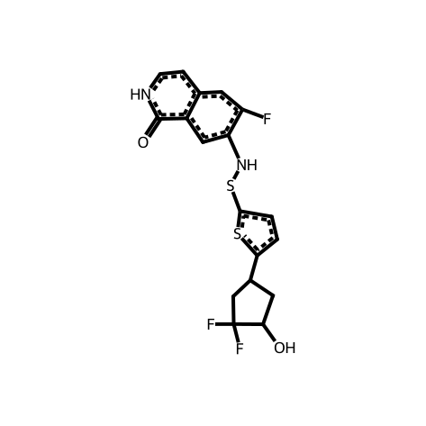 O=c1[nH]ccc2cc(F)c(NSc3ccc(C4CC(O)C(F)(F)C4)s3)cc12